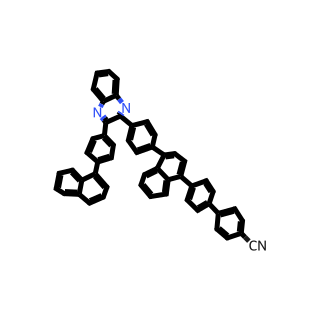 N#Cc1ccc(-c2ccc(-c3ccc(-c4ccc(-c5nc6ccccc6nc5-c5ccc(-c6cccc7ccccc67)cc5)cc4)c4ccccc34)cc2)cc1